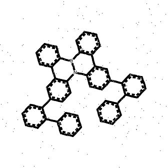 c1ccc(-c2ccccc2-c2ccc3c(c2)-c2ccccc2B2c4ccccc4-c4cc(-c5ccccc5-c5ccccc5)ccc4N23)cc1